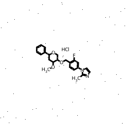 COC1CC(c2ccccc2)OCC1OCc1ccc(-n2ccnc2C)cc1F.Cl